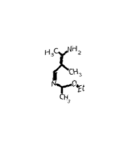 CCOC(C)/N=C\C(C)=C(/C)N